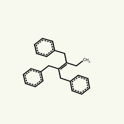 CCC(Cc1ccccc1)=C(Cc1ccccc1)Cc1ccccc1